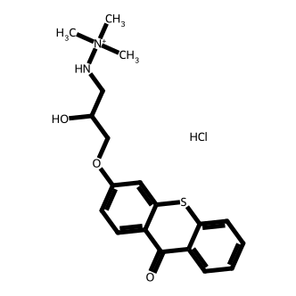 C[N+](C)(C)NCC(O)COc1ccc2c(=O)c3ccccc3sc2c1.Cl